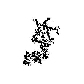 CC(C)C[C@H](NC(=O)[C@H](C)NC(=O)[C@H](CC(C)C)NC(=O)[C@H](CC(C)C)NC(=O)[C@@H](NC(=O)[C@H](C)NC(=O)[C@@H]1CCCN1C(=O)[C@H](CC(C)C)NC(=O)[C@H](CC(C)C)NC(=O)[C@H](C)NC(=O)[C@@H](NC(=O)[C@H](C)NC(=O)[C@H](C)NC(=O)[C@H](CCCCN)NC(=O)[C@H](CCCCN)NC(=O)[C@H](CCCN=C(N)N)NC(=O)[C@@H](N)CCCN=C(N)N)C(C)C)C(C)C)C(=O)N[C@@H](CC(C)C)C(=O)N[C@@H](C)C(=O)N1CCC[C@H]1C(=O)O